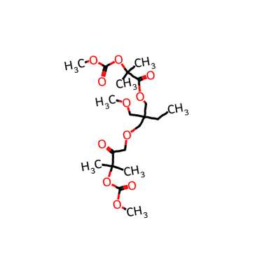 CCC(COC)(COCC(=O)C(C)(C)OC(=O)OC)COC(=O)C(C)(C)OC(=O)OC